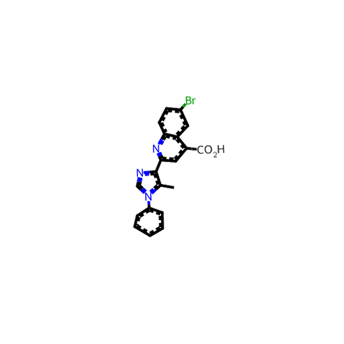 Cc1c(-c2cc(C(=O)O)c3cc(Br)ccc3n2)ncn1-c1ccccc1